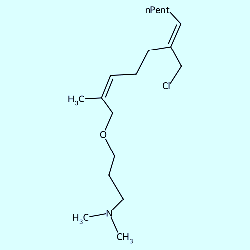 CCCCC/C=C(/CCl)CC/C=C(/C)COCCCN(C)C